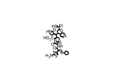 CCN(O)C(=O)CC(C(=C1CCNC1=O)C1=C(C(=O)O)N2C(=O)[C@@H](NC(=O)C(=NOC3CCCC3)c3csc(N)n3)[C@H]2SC1)c1ccncc1